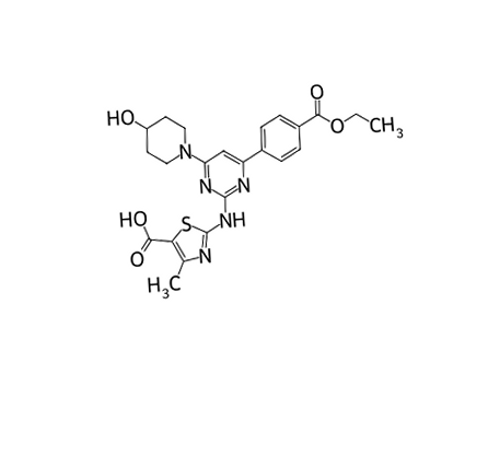 CCOC(=O)c1ccc(-c2cc(N3CCC(O)CC3)nc(Nc3nc(C)c(C(=O)O)s3)n2)cc1